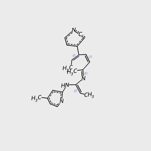 C\C=C(/N=C(C)/C=C\C(=C/C)c1ccncc1)Nc1cc(C)ccn1